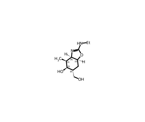 CCNC1=N[C@@H]2[C@H](C)[C@H](O)[C@@H](CO)C[C@@H]2O1